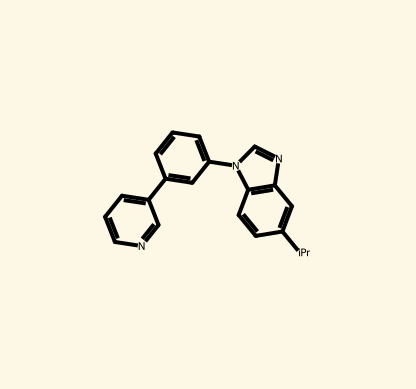 CC(C)c1ccc2c(c1)ncn2-c1cccc(-c2cccnc2)c1